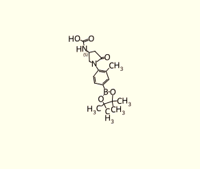 Cc1cc(B2OC(C)(C)C(C)(C)O2)ccc1N1C[C@@H](NC(=O)O)CC1=O